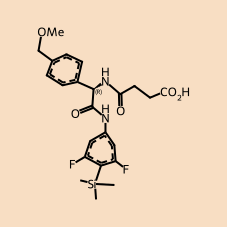 COCc1ccc([C@@H](NC(=O)CCC(=O)O)C(=O)Nc2cc(F)c([Si](C)(C)C)c(F)c2)cc1